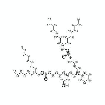 CCCCCCCCC(CCCCCC)COC(=O)CCCCCN(CCO)CCN(CCCCCC(=O)OCC(CCCCCCCC)CCCCCCCC)C1CCCCC1